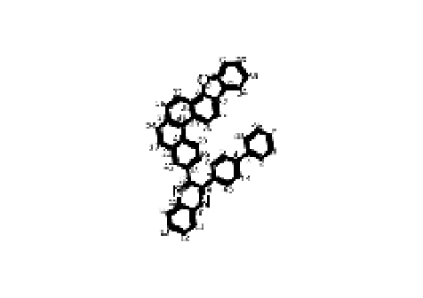 c1ccc(-c2ccc(-c3nc4ccccc4nc3-c3ccc4c(ccc5ccc6c(ccc7c8ccccc8oc76)c54)c3)cc2)cc1